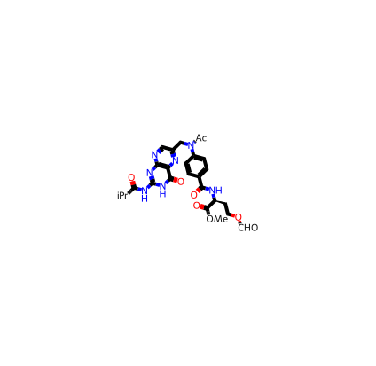 COC(=O)[C@H](CCOC=O)NC(=O)c1ccc(N(Cc2cnc3nc(NC(=O)C(C)C)[nH]c(=O)c3n2)C(C)=O)cc1